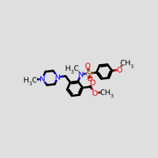 COC(=O)c1cccc(CN2CCN(C)CC2)c1N(C)S(=O)(=O)c1ccc(OC)cc1